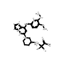 COc1ccc(Nc2cc(N3CCCC(N)C3)nn3ccnc23)nc1OC.O=C(O)C(F)(F)F